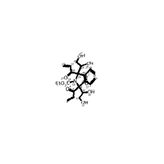 C=CC(=O)C(C(=O)C=C)(C(O)CO)N(C(=O)OCC)C(C(=O)C=C)(C(=O)C=C)C(O)CO